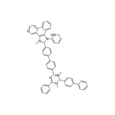 CNC(c1ccc(-c2ccccc2)cc1)N(C)/C(=N\Cc1ccc(-c2ccc(C3N(C)c4c(c5ccccc5c5ccncc45)N3C3=CC=CCN3)cc2)cc1)c1ccccc1